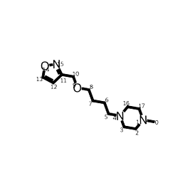 CN1CCN(CCCCOCc2ccon2)CC1